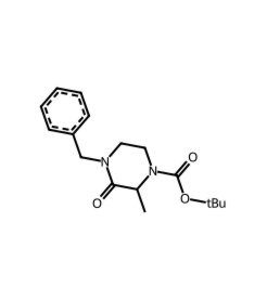 CC1C(=O)N(Cc2ccccc2)CCN1C(=O)OC(C)(C)C